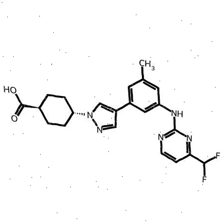 Cc1cc(Nc2nccc(C(F)F)n2)cc(-c2cnn([C@H]3CC[C@H](C(=O)O)CC3)c2)c1